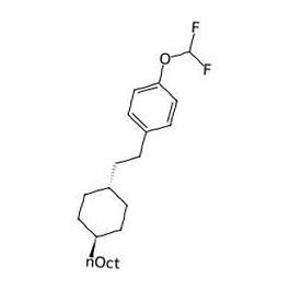 CCCCCCCC[C@H]1CC[C@H](CCc2ccc(OC(F)F)cc2)CC1